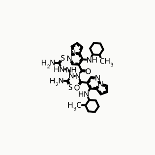 CC1CCCCC1Nc1c(C(=O)N(C(=O)c2cnn3cccc3c2NC2CCCCC2C)N(NNC(N)=S)C(N)=S)cnn2cccc12